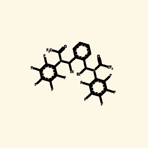 CCC(c1ccccc1C(CC)N(C(=O)C(F)(F)F)c1c(F)c(F)c(F)c(F)c1F)N(C(=O)C(F)(F)F)c1c(F)c(F)c(F)c(F)c1F